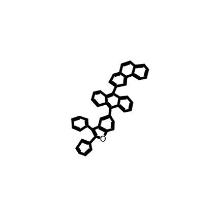 c1ccc(-c2oc3ccc(-c4c5ccccc5c(-c5ccc6ccc7ccccc7c6c5)c5ccccc45)cc3c2-c2ccccc2)cc1